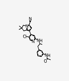 CC(=O)Nc1cccc(CC(C)Nc2cc(-c3cc(C#N)n4c3CC(C)(C)C4)c(Cl)cn2)c1